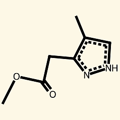 COC(=O)Cc1n[nH]cc1C